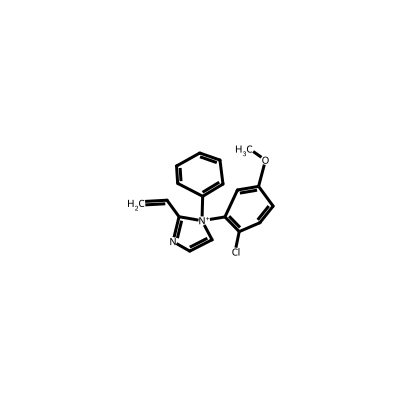 C=CC1=NC=C[N+]1(c1ccccc1)c1cc(OC)ccc1Cl